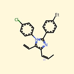 C=Cc1c(/C=C\C)nc(-c2ccc(CC)cc2)n1-c1ccc(Cl)cc1